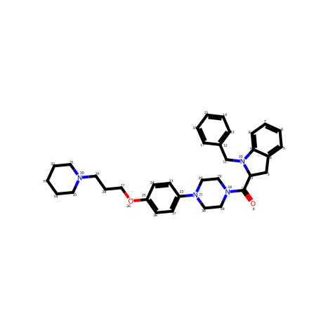 O=C(C1Cc2ccccc2N1Cc1ccccc1)N1CCN(c2ccc(OCCCN3CCCCC3)cc2)CC1